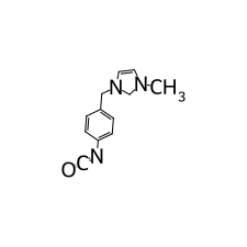 CN1C=CN(Cc2ccc(N=C=O)cc2)C1